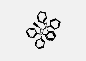 C#[C][Pt]([PH](c1ccccc1)(c1ccccc1)c1ccccc1)[PH](c1ccccc1)(c1ccccc1)c1ccccc1